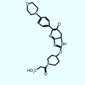 O=C(O)CC(=O)N1CCC(OC2=NC3=NC(c4ccc(N5CCOCC5)cc4)=C(Cl)CC3N2)CC1